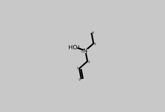 C=CCN(O)CC